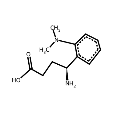 CN(C)c1ccccc1[C@@H](N)CCC(=O)O